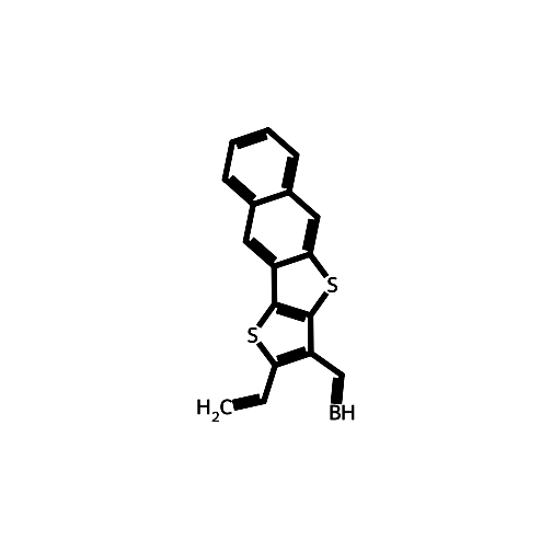 B=Cc1c(C=C)sc2c1sc1cc3ccccc3cc12